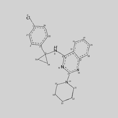 Clc1ccc(C2(Nc3nc(N4CCCCC4)nc4ccccc34)CC2)cc1